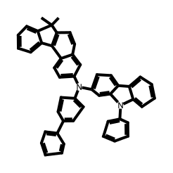 CC1(C)c2ccccc2-c2c1ccc1cc(N(c3ccc(-c4ccccc4)cc3)c3ccc4c5ccccc5n(-c5ccccc5)c4c3)ccc21